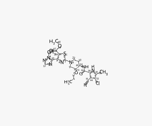 CCCO[C@H]1CN(c2nc(-c3ncnn3C)c(C(=O)OC)s2)CC[C@H]1NC(=O)c1[nH]c(C)c(Cl)c1C#N